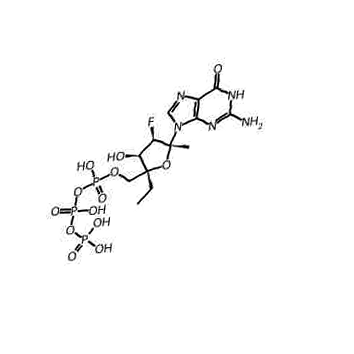 CC[C@]1(COP(=O)(O)OP(=O)(O)OP(=O)(O)O)O[C@@](C)(n2cnc3c(=O)[nH]c(N)nc32)[C@H](F)[C@@H]1O